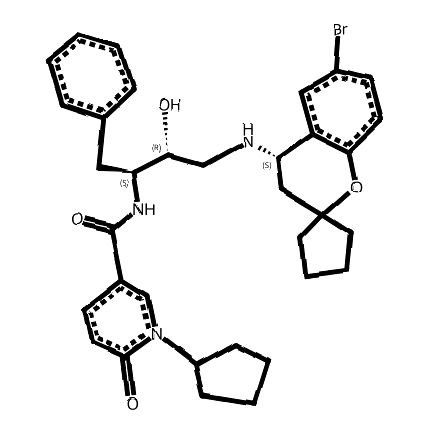 O=C(N[C@@H](Cc1ccccc1)[C@H](O)CN[C@H]1CC2(CCCC2)Oc2ccc(Br)cc21)c1ccc(=O)n(C2CCCC2)c1